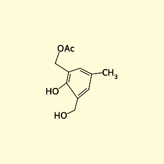 CC(=O)OCc1cc(C)cc(CO)c1O